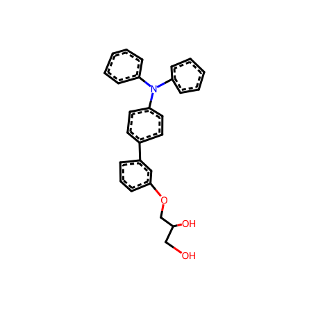 OCC(O)COc1cccc(-c2ccc(N(c3ccccc3)c3ccccc3)cc2)c1